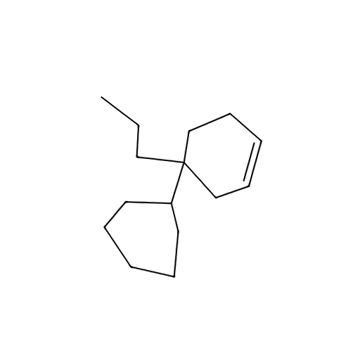 CCCC1(C2CCCCC2)CC=CCC1